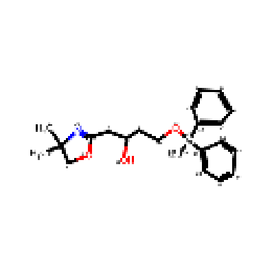 CC1(C)COC(CC(O)CCO[Si](c2ccccc2)(c2ccccc2)C(C)(C)C)=N1